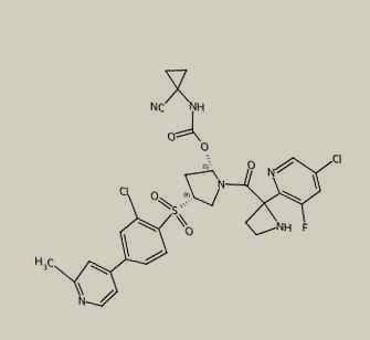 Cc1cc(-c2ccc(S(=O)(=O)[C@@H]3C[C@H](OC(=O)NC4(C#N)CC4)N(C(=O)C4(c5ncc(Cl)cc5F)CCN4)C3)c(Cl)c2)ccn1